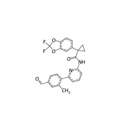 Cc1cc(C=O)ccc1-c1cccc(NC(=O)C2(c3ccc4c(c3)OC(F)(F)O4)CC2)n1